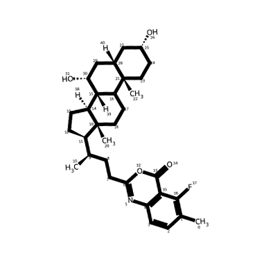 Cc1ccc2nc(CC[C@@H](C)[C@H]3CC[C@H]4[C@H]5C(CC[C@]34C)[C@@]3(C)CC[C@@H](O)C[C@H]3C[C@H]5O)oc(=O)c2c1F